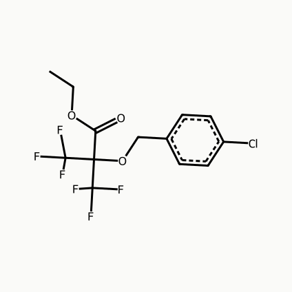 CCOC(=O)C(OCc1ccc(Cl)cc1)(C(F)(F)F)C(F)(F)F